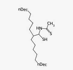 CCCCCCCCCCCCCCCC(CCCCCCCCCCCCCC)C(S)NC(C)=S